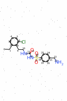 CCc1cccc(Cl)c1CCNC(=O)NS(=O)(=O)c1ccc(CN)cc1